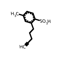 C#CCCCc1cc(C)ccc1S(=O)(=O)O